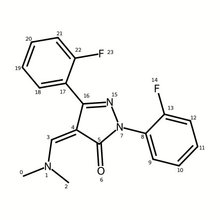 CN(C)C=C1C(=O)N(c2ccccc2F)N=C1c1ccccc1F